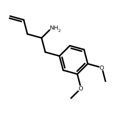 C=CCC(N)Cc1ccc(OC)c(OC)c1